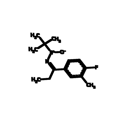 CC/C(=N/[S+]([O-])C(C)(C)C)c1ccc(F)c(C)c1